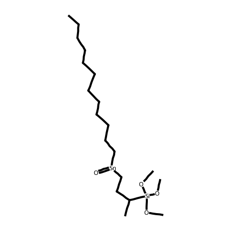 CCCCCCCCCCC[CH2][Sn](=[O])[CH2]CC(C)[Si](OC)(OC)OC